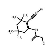 CC(C)[N+]#CC1=C(NC(=O)CCl)CC(C)(C)CC1(C)C